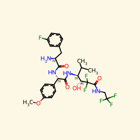 COc1ccc([C@H](NC(=O)[C@@H](N)Cc2cccc(F)c2)C(=O)N[C@@H](C(C)C)[C@@H](O)C(F)(F)C(=O)NCC(F)(F)F)cc1